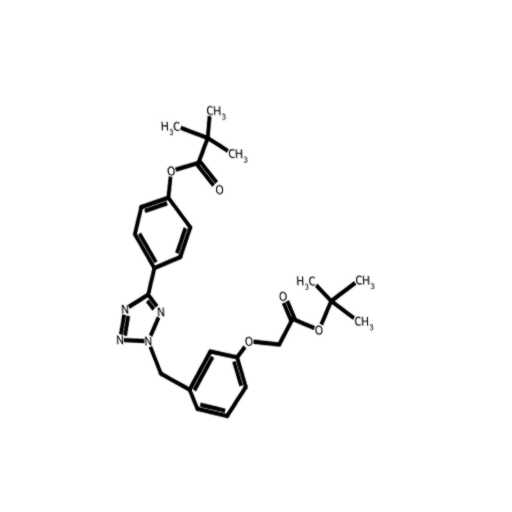 CC(C)(C)OC(=O)COc1cccc(Cn2nnc(-c3ccc(OC(=O)C(C)(C)C)cc3)n2)c1